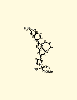 COCC(C)(C)n1cc(-c2cc3c4c(c2)nc(-c2ccc5oc(N)nc5c2)n4CCCO3)cn1